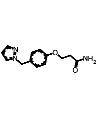 NC(=O)CCOc1ccc(Cn2cccn2)cc1